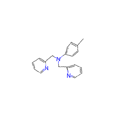 Cc1ccc(N(Cc2ccccn2)Cc2ccccn2)cc1